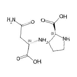 NC(=O)C[C@H](N)C(=O)O.O=C(O)[C@@H]1CCCN1